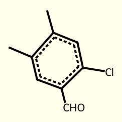 Cc1cc(Cl)c(C=O)cc1C